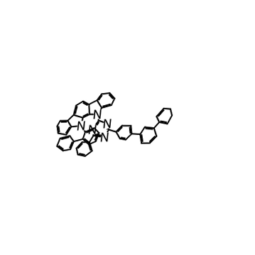 C1=CC(c2cccc(-c3ccc(-c4nc(-c5ccccc5)nc(-n5c6ccccc6c6ccc7c8ccccc8n(-c8ccccc8-c8ccccc8)c7c65)n4)cc3)c2)=CCC1